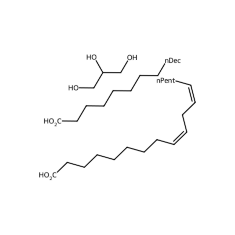 CCCCC/C=C\C/C=C\CCCCCCCC(=O)O.CCCCCCCCCCCCCCCCCC(=O)O.OCC(O)CO